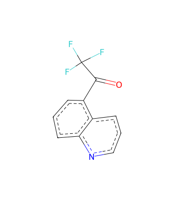 O=C(c1cccc2ncccc12)C(F)(F)F